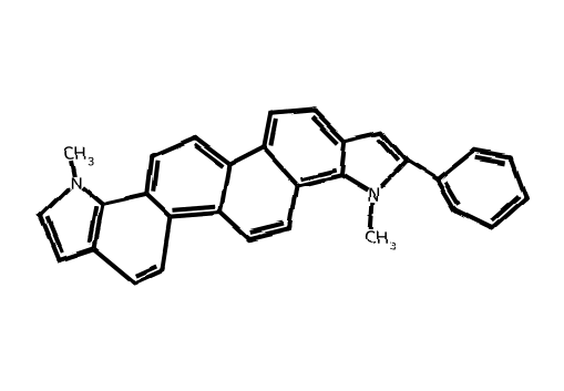 Cn1ccc2ccc3c4ccc5c(ccc6cc(-c7ccccc7)n(C)c65)c4ccc3c21